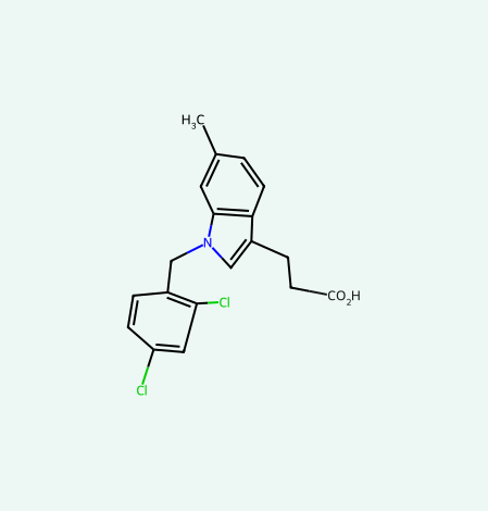 Cc1ccc2c(CCC(=O)O)cn(Cc3ccc(Cl)cc3Cl)c2c1